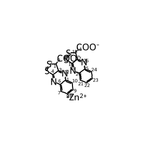 O=C([O-])C1SSc2nc3ccccc3nc21.O=C([O-])C1SSc2nc3ccccc3nc21.[Zn+2]